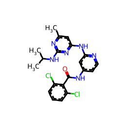 Cc1cc(Nc2cc(NC(=O)c3c(Cl)cccc3Cl)ccn2)nc(NC(C)C)n1